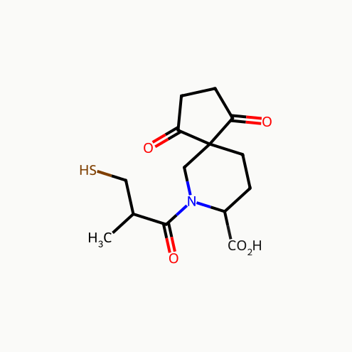 CC(CS)C(=O)N1CC2(CCC1C(=O)O)C(=O)CCC2=O